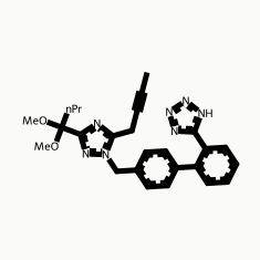 CC#CCc1nc(C(CCC)(OC)OC)nn1Cc1ccc(-c2ccccc2-c2nnn[nH]2)cc1